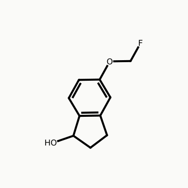 OC1CCc2cc(OCF)ccc21